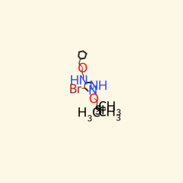 C[Si](C)(C)CCOCN1C=C(Br)C(NCCOCc2ccccc2)=CN1